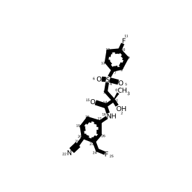 C[C@](O)(CS(=O)(=O)c1ccc(F)cc1)C(=O)Nc1ccc(C#N)c(CF)c1